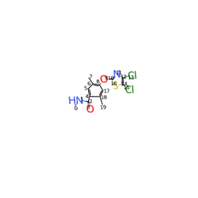 CNC(=O)c1cc(C)c(Oc2nc(Cl)c(Cl)s2)cc1C